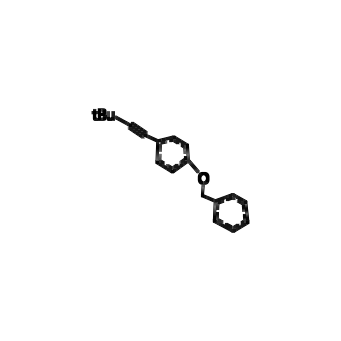 CC(C)(C)C#Cc1ccc(OCc2ccccc2)cc1